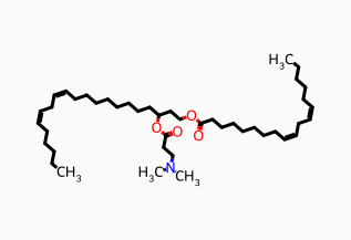 CCCCC/C=C\C/C=C\CCCCCCCCC(CCOC(=O)CCCCCCC/C=C\C/C=C\CCCCC)OC(=O)CCN(C)C